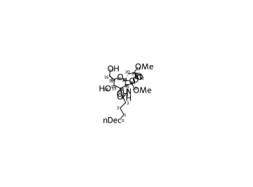 CCCCCCCCCCCCCC(=O)N[C@]1(C(=O)OC)[C@@H](O)[C@H](O)[C@@H](CO)O[C@@]1(CC(=O)OC)OCC